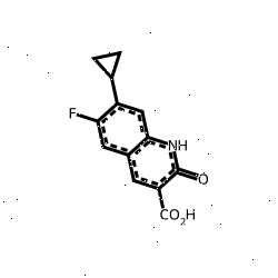 O=C(O)c1cc2cc(F)c(C3CC3)cc2[nH]c1=O